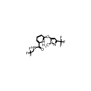 Cn1nc(C(F)(F)F)cc1Oc1cccc(C(=O)NCC(F)(F)F)n1